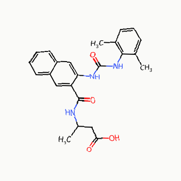 Cc1cccc(C)c1NC(=O)Nc1cc2ccccc2cc1C(=O)NC(C)CC(=O)O